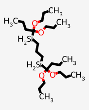 CCCOC(CCC)(OCCC)[SiH2]CCC[SiH2]C(CCC)(OCCC)OCCC